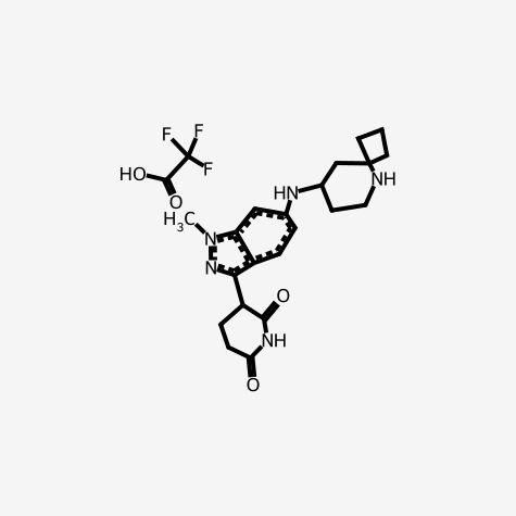 Cn1nc(C2CCC(=O)NC2=O)c2ccc(NC3CCNC4(CCC4)C3)cc21.O=C(O)C(F)(F)F